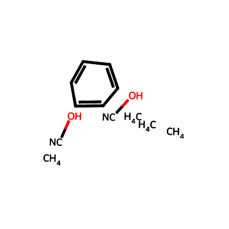 C.C.C.C.N#CO.N#CO.c1ccccc1